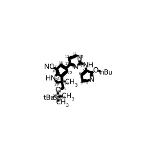 CCCCOc1ncccc1Nc1nccc(-c2cc(C#N)c3c(c2)[C@@](C)(CO[Si](C)(C)C(C)(C)C)CN3)n1